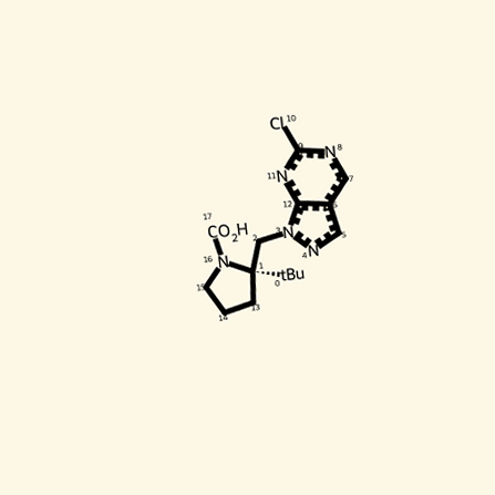 CC(C)(C)[C@]1(Cn2ncc3cnc(Cl)nc32)CCCN1C(=O)O